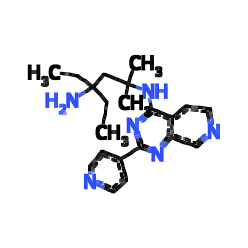 CCC(N)(CC)CC(C)(C)Nc1nc(-c2ccncc2)nc2cnccc12